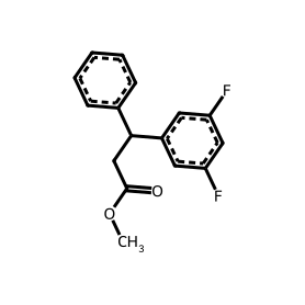 COC(=O)CC(c1ccccc1)c1cc(F)cc(F)c1